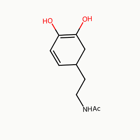 CC(=O)NCCC1C=CC(O)=C(O)C1